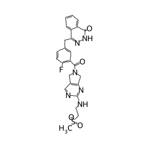 CS(=O)(=O)CCNc1ncc2c(n1)CN(C(=O)c1cc(Cc3n[nH]c(=O)c4ccccc34)ccc1F)C2